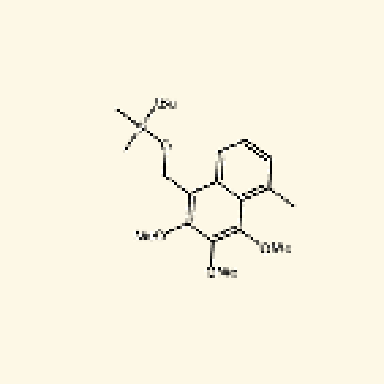 COc1c(OC)c(OC)c2c(C)cccc2c1CO[Si](C)(C)C(C)(C)C